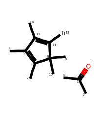 CC(C)=O.CC1=C(C)C(C)(C)[C]([Ti])=C1C